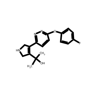 CC(C)(O)C1=C(c2ccc(Oc3ccc(F)cc3)nn2)CNC1